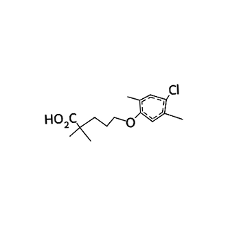 Cc1cc(OCCCC(C)(C)C(=O)O)c(C)cc1Cl